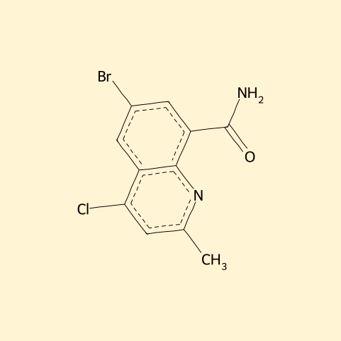 Cc1cc(Cl)c2cc(Br)cc(C(N)=O)c2n1